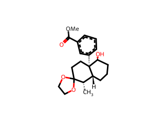 COC(=O)c1cccc([C@@]23CCC4(OCCO4)[C@@H](C)[C@H]2CCC[C@@H]3O)c1